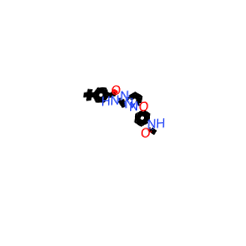 CC(=O)Nc1cccc(Oc2ccc3nc(NC(=O)c4ccc(C(C)(C)C)cc4)cn3n2)c1